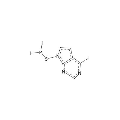 Ic1ncnc2c1ccn2SP(I)I